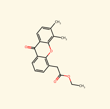 CCOC(=O)Cc1cccc2c(=O)c3ccc(C)c(C)c3oc12